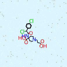 O=C(O)CCN1CCC(NC(=O)C(Cl)c2ccc(Cl)cc2)(C(=O)O)CC1